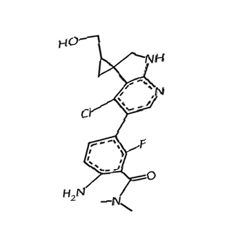 CN(C)C(=O)c1c(N)ccc(-c2cnc3c(c2Cl)C2(CN3)CC2CO)c1F